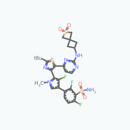 Cn1cc(-c2ccc(F)c(S(N)(=O)=O)c2F)c(F)c1-c1nc(C(C)(C)C)sc1-c1ccnc(NC2CC3(C2)CS(=O)(=O)C3)n1